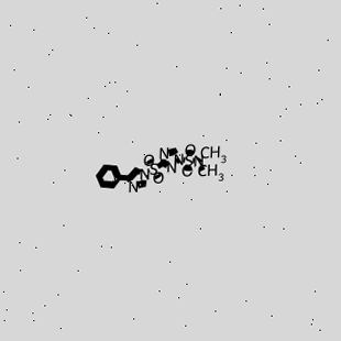 CN(C)S(=O)(=O)n1cnc(S(=O)(=O)n2cnc(-c3ccccc3)c2)n1